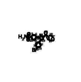 NS(=O)(=O)c1ccc(-n2nc(C(=O)N3CCOCC3)cc2-c2ccc(Br)cc2)cc1